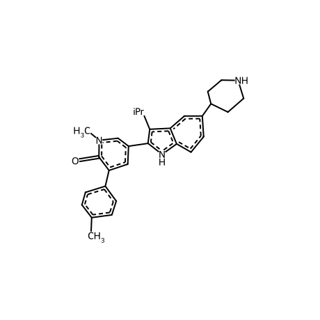 Cc1ccc(-c2cc(-c3[nH]c4ccc(C5CCNCC5)cc4c3C(C)C)cn(C)c2=O)cc1